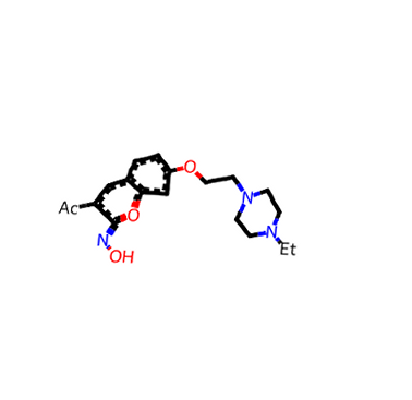 CCN1CCN(CCOc2ccc3cc(C(C)=O)c(=NO)oc3c2)CC1